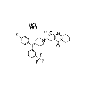 Cc1nc2n(c(=O)c1CCN1CCC(=C(c3ccc(F)cc3)c3cccc(C(F)(F)F)c3)CC1)CCCC2.Cl.Cl